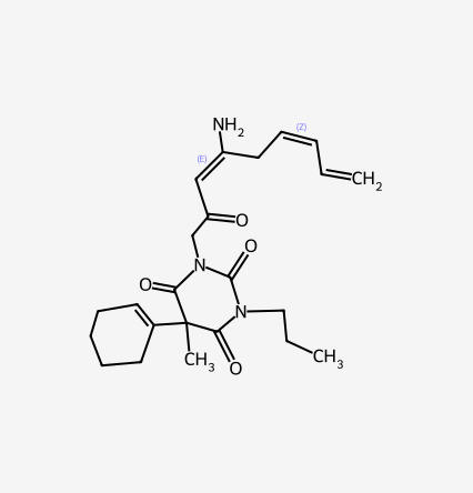 C=C/C=C\C/C(N)=C\C(=O)CN1C(=O)N(CCC)C(=O)C(C)(C2=CCCCC2)C1=O